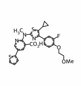 COCCOc1ccc(-c2nc(N(C)c3ncc(-c4cccs4)cc3C(=O)O)sc2C2CC2)cc1F